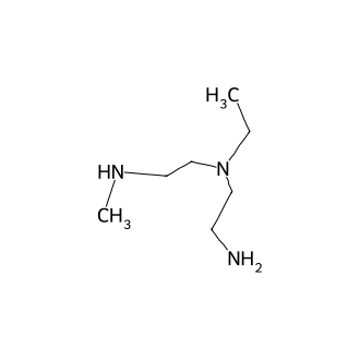 CCN(CCN)CCNC